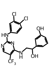 Oc1cccc(C(O)CNc2nc(Nc3ccc(Cl)c(Cl)c3)ncc2C(F)(F)F)c1